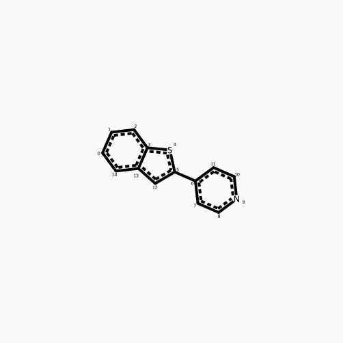 [c]1ccc2sc(-c3ccncc3)cc2c1